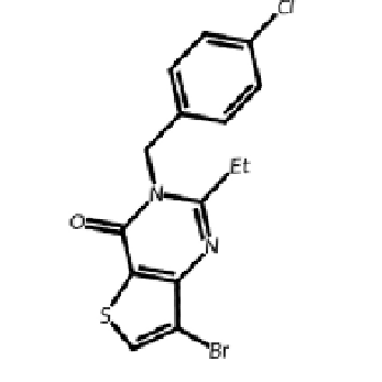 CCc1nc2c(Br)csc2c(=O)n1Cc1ccc(Cl)cc1